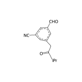 CC(C)C(=O)Cc1cc(C#N)cc(C=O)c1